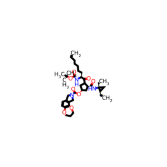 C=CCCCCC[C@H](NC(=O)OC(C)(C)C)C(=O)C1C[C@H](OC(=O)N2Cc3ccc4c(c3C2)OCCCO4)C[C@H]1C(=O)N[C@]1(CC)C[C@H]1C=C